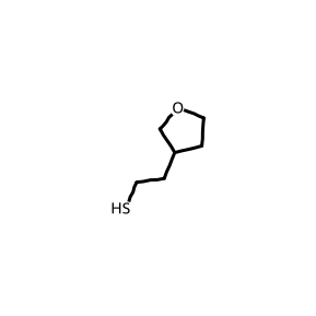 SCCC1CCOC1